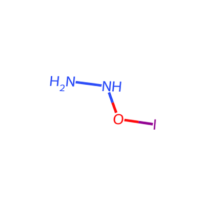 NNOI